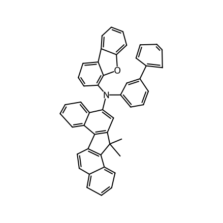 CC1(C)c2cc(N(c3cccc(-c4ccccc4)c3)c3cccc4c3oc3ccccc34)c3ccccc3c2-c2ccc3ccccc3c21